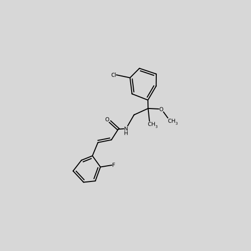 COC(C)(CNC(=O)/C=C/c1ccccc1F)c1cccc(Cl)c1